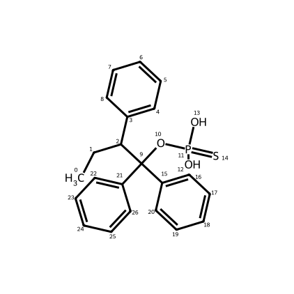 CCC(c1ccccc1)C(OP(O)(O)=S)(c1ccccc1)c1ccccc1